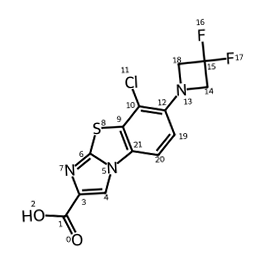 O=C(O)c1cn2c(n1)sc1c(Cl)c(N3CC(F)(F)C3)ccc12